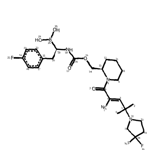 CC(C)(C=C(C#N)C(=O)N1CCCC[C@@H]1COC(=O)N[C@@H](Cc1ccc(F)cc1)B(O)O)N1CCC(F)(F)C1